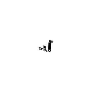 [InH3].[O]=[Sn].[Ta]